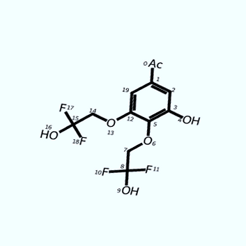 CC(=O)c1cc(O)c(OCC(O)(F)F)c(OCC(O)(F)F)c1